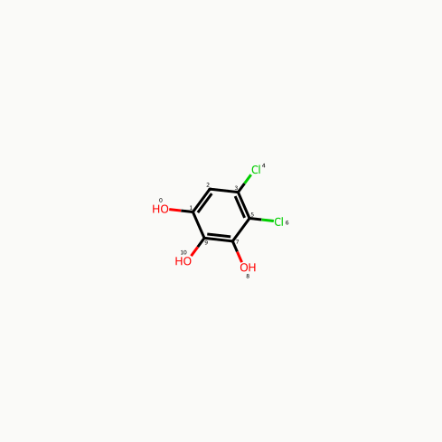 Oc1cc(Cl)c(Cl)c(O)c1O